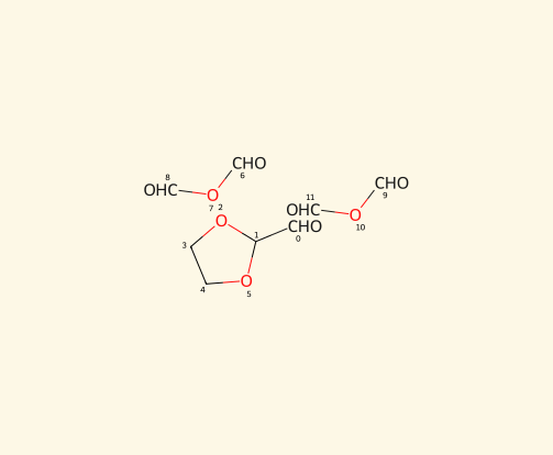 O=CC1OCCO1.O=COC=O.O=COC=O